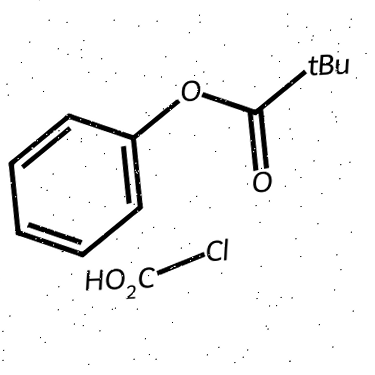 CC(C)(C)C(=O)Oc1ccccc1.O=C(O)Cl